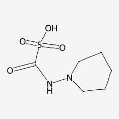 O=C(NN1CCCCC1)S(=O)(=O)O